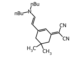 CCCCN(C=CC1=CC(=C(C#N)C#N)CC(C)(C)C1)CCCC